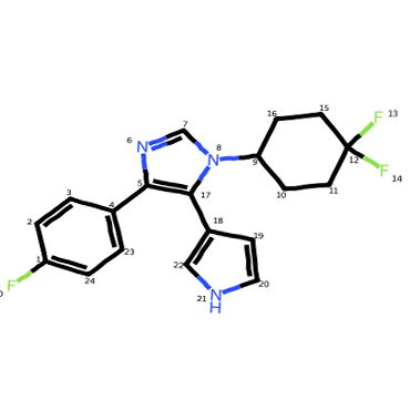 Fc1ccc(-c2ncn(C3CCC(F)(F)CC3)c2-c2cc[nH]c2)cc1